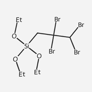 CCO[Si](CC(Br)(Br)C(Br)Br)(OCC)OCC